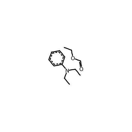 CCN(CC)c1ccccc1.CCOC=O